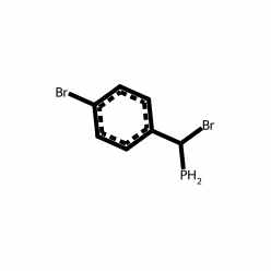 PC(Br)c1ccc(Br)cc1